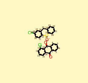 O=C1c2ccccc2C(=O)c2c(Cl)cccc21.[O-][S+]1c2ccccc2Cc2cc(Cl)ccc21